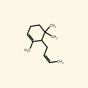 C/C=C\CC1C(C)=CCCC1(C)C